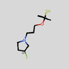 CC(C)(S)OCCCN1CC[C@H](F)C1